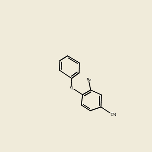 N#Cc1ccc(Oc2ccccc2)c(Br)c1